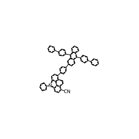 N#Cc1ccc2c3c1ccc1c(-c4ccc(-c5ccc6c(-c7ccc(-c8ccccc8)cc7)c7ccccc7c(-c7ccc(-c8ccccc8)cc7)c6c5)cc4)ccc(c13)n2-c1ccccc1